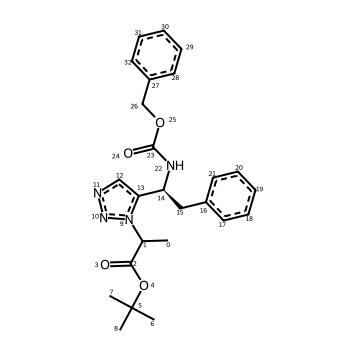 CC(C(=O)OC(C)(C)C)n1nncc1[C@H](Cc1ccccc1)NC(=O)OCc1ccccc1